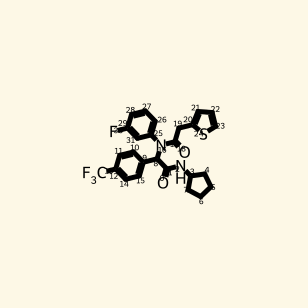 O=C(NC1CCCC1)C(c1ccc(C(F)(F)F)cc1)N(C(=O)Cc1cccs1)c1cccc(F)c1